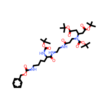 CC(C)(C)OC(=O)CC(CC(=O)OC(C)(C)C)N(CCC(=O)NCCNC(=O)C(CCCCNC(=O)OCc1ccccc1)NC(=O)OC(C)(C)C)C(=O)OC(C)(C)C